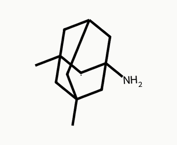 CC12[CH]C3(N)CC(C1)CC(C)(C2)C3